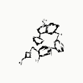 Cc1nn(-c2ccnc(Nc3ccc4c(c3)c(-c3ncco3)cn4C)n2)cc1CN1CC(O)C1